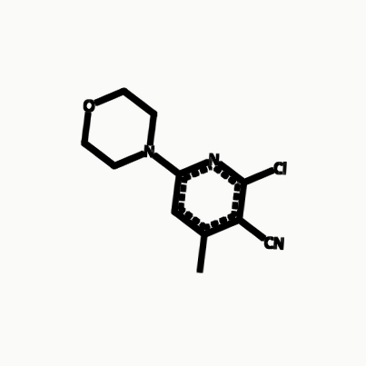 Cc1cc(N2CCOCC2)nc(Cl)c1C#N